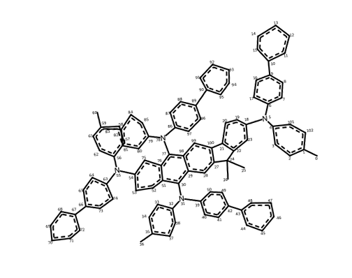 Cc1ccc(N(c2ccc(-c3ccccc3)cc2)c2ccc3c(c2)C(C)(C)c2cc4c(N(c5ccc(C)cc5)c5ccc(-c6ccccc6)cc5)c5ccc(N(c6ccc(C)cc6)c6ccc(-c7ccccc7)cc6)cc5c(N(c5ccc(C)cc5)c5ccc(-c6ccccc6)cc5)c4cc2-3)cc1